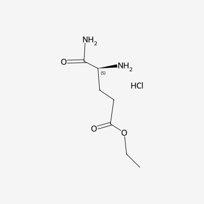 CCOC(=O)CC[C@H](N)C(N)=O.Cl